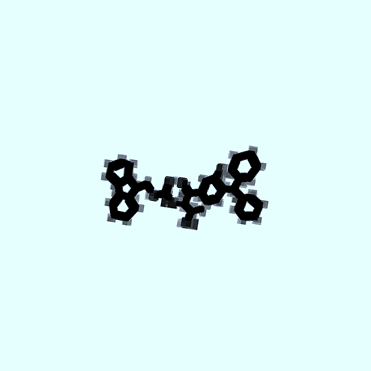 C[C@@H](O)[C@H](NC(=O)OCC1c2ccccc2-c2ccccc21)C(=O)c1ccc([C](c2ccccc2)c2ccccc2)c(Cl)c1